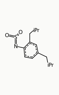 CC(C)Cc1ccc(N=S(=O)=O)c(CC(C)C)c1